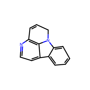 C1=Cc2nccc3c4ccccc4n(c23)C1